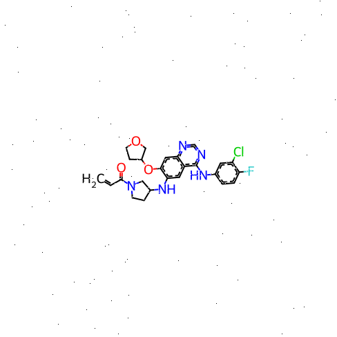 C=CC(=O)N1CCC(Nc2cc3c(Nc4ccc(F)c(Cl)c4)ncnc3cc2OC2CCOC2)C1